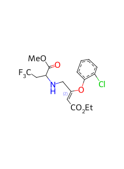 CCOC(=O)/C=C(/CNC(CC(F)(F)F)C(=O)OC)Oc1ccccc1Cl